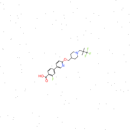 CC(C)(CN1CCC(COc2ccc(-c3ccc(C(=O)O)c(F)c3)cn2)CC1)C(F)(F)F